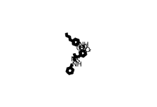 CCCCc1ccc(NS(=O)(=O)c2cc(-c3sc(NCC4CCCCC4)nc3C)ccc2OC)cc1